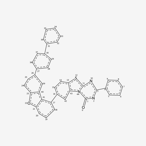 O=c1nc(-c2ccccc2)nc2sc3ccc(-c4cccc5oc6ccc(-c7ccc(-c8ccccc8)cc7)cc6c45)cc3n12